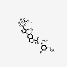 COc1cc(F)cc([C@@H](CO)NC(=O)N2CCc3cc(-c4cnn(C(=O)OC(C)(C)C)c4C)c(F)cc32)c1